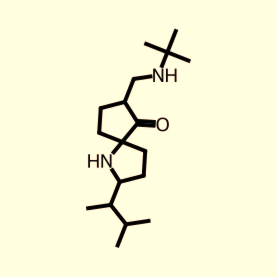 CC(C)C(C)C1CCC2(CCC(CNC(C)(C)C)C2=O)N1